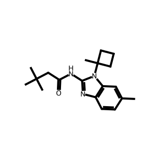 Cc1ccc2nc(NC(=O)CC(C)(C)C)n(C3(C)CCC3)c2c1